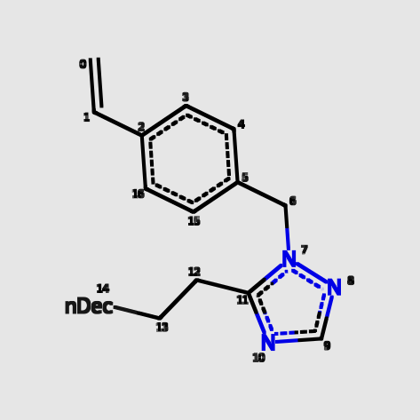 C=Cc1ccc(Cn2ncnc2CCCCCCCCCCCC)cc1